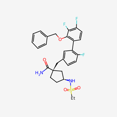 CCS(=O)(=O)N[C@H]1CC[C@](Cc2ccc(F)c(-c3ccc(F)c(F)c3OCc3ccccc3)c2)(C(N)=O)C1